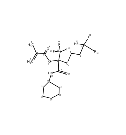 C=C(C)C(=O)OC(OCCC(F)(F)S)(C(=O)NC1CCCCC1)C(F)(F)F